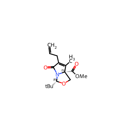 C=CCC1=C(C)[C@@]2(C(=O)OC)CO[C@H](C(C)(C)C)N2C1=O